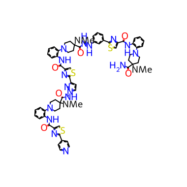 CNC1(C(N)=O)CCN(c2ccccc2NC(=O)c2csc(-c3cccc(NNC(=O)C4(NC)CCN(c5ccccc5NC(=O)c5csc(-c6ccn(NC(=O)C7(NC)CCN(c8ccccc8NC(=O)c8csc(-c9ccncc9)n8)CC7)n6)n5)CC4)c3)n2)CC1